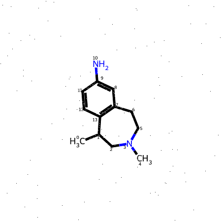 CC1CN(C)CCc2cc(N)ccc21